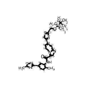 Cc1nc(-c2ccc(C)c(NC(=O)c3cnc4cc(-c5csc(CO[Si](C)(C)C(C)(C)C)n5)ccn34)c2)no1